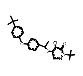 CC(Sc1cnn(C(C)(C)C)c(=O)c1Cl)c1ccc(Oc2ccc(C(C)(C)C)cc2)cc1